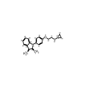 C=c1c(=C)n(-c2ccc(OCCSN3CC3)cc2)c2ccccc12